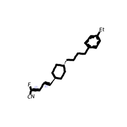 CCc1ccc(CCCC[C@H]2CC[C@H](/C=C/C=C(\F)C#N)CC2)cc1